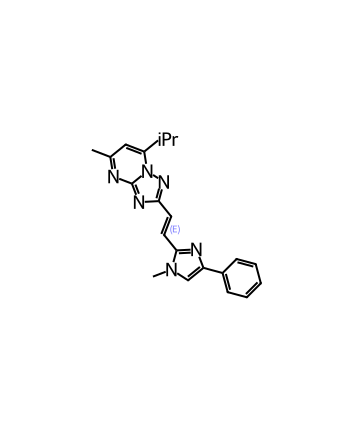 Cc1cc(C(C)C)n2nc(/C=C/c3nc(-c4ccccc4)cn3C)nc2n1